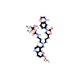 COc1ccc2ncc(F)c(CN(CCCNC(=O)OC(C)(C)C)CCCC3CN(c4ccc5c(c4)NCCO5)C(=O)O3)c2n1